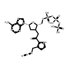 [N-]=[N+]=NCc1cc[nH]c1C(=O)CC1C[C@H](n2cnc3c(N)ncnc32)O[C@@H]1COP(=O)(O)OP(=O)(O)OP(=O)(O)O